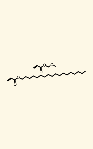 C=CC(=O)OCCCCCCCCCCCCCCCCCC.C=CC(=O)OCOC